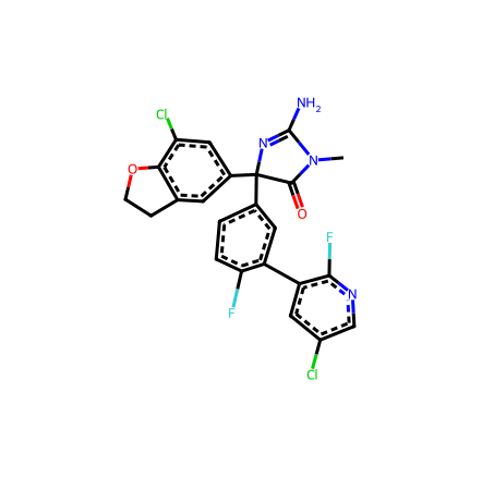 CN1C(=O)C(c2cc(Cl)c3c(c2)CCO3)(c2ccc(F)c(-c3cc(Cl)cnc3F)c2)N=C1N